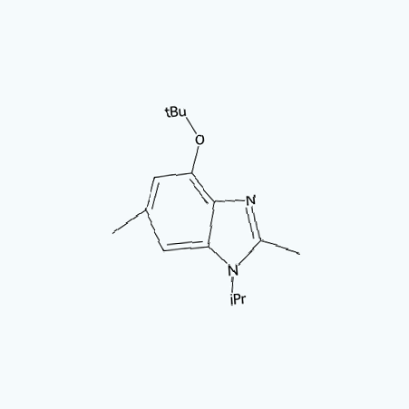 Cc1cc(OC(C)(C)C)c2nc(C)n(C(C)C)c2c1